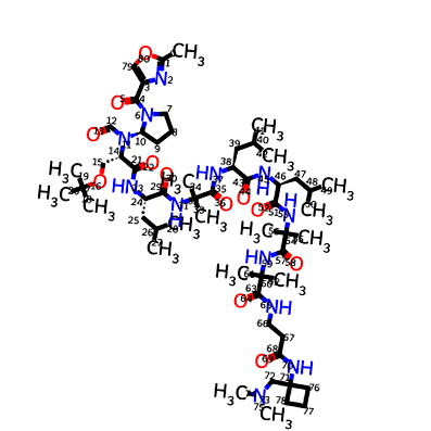 Cc1nc(C(=O)N2CCC[C@H]2N(C=O)[C@@H](COC(C)(C)C)C(=O)N[C@@H](CC(C)C)C(=O)NC(C)(C)C(=O)N[C@@H](CC(C)C)C(=O)N[C@@H](CC(C)C)C(=O)NC(C)(C)C(=O)NC(C)(C)C(=O)NCCC(=O)NC2(CN(C)C)CCC2)co1